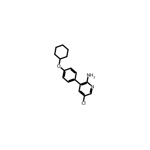 Nc1ncc(Cl)cc1-c1ccc(OC2CCCCC2)cc1